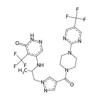 CC(Cn1cc(C(=O)N2CCN(c3ncc(C(F)(F)F)cn3)CC2)cn1)Nc1cn[nH]c(=O)c1C(F)(F)F